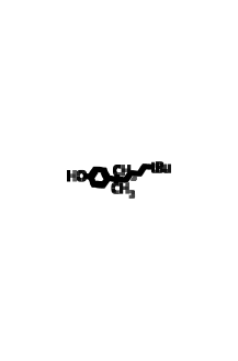 CC(C)(C)CCCCC(C)(C)c1ccc(O)cc1